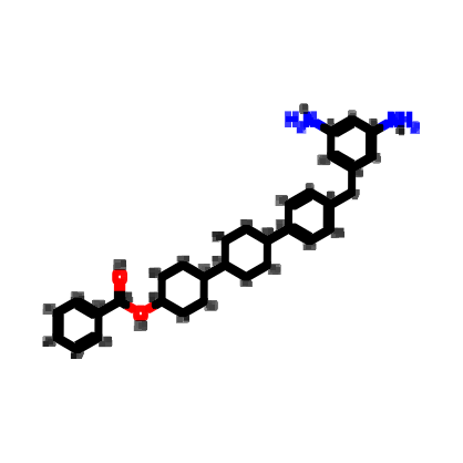 Nc1cc(N)cc(Cc2ccc(C3CCC(C4CCC(OC(=O)c5ccccc5)CC4)CC3)cc2)c1